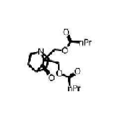 CCCC(=O)OCC1(COC(=O)CCC)C(=O)C2CCN1CC2